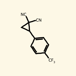 N#CC1(C#N)CC1c1ccc(C(F)(F)F)cc1